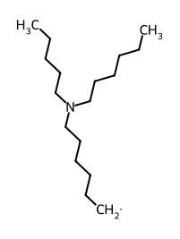 [CH2]CCCCCN(CCCCC)CCCCCC